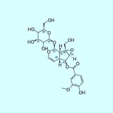 COc1cc(C(=O)O[C@H]2[C@@H]3C=CO[C@@H](O[C@@H]4O[C@H](CO)C(O)[C@H](O)C4O)[C@@H]3[C@]3(CO)O[C@@H]23)ccc1O